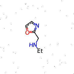 CCNCc1ncco1